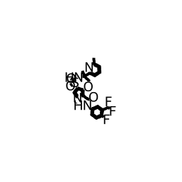 Cc1cccc(C2(C)COc3c(cn(C)c3C(=O)Nc3ccc(F)c(C(F)F)c3)S(=O)(=O)N2)n1